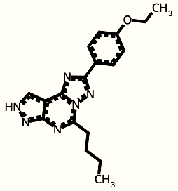 CCCCc1nc2n[nH]cc2c2nc(-c3ccc(OCC)cc3)nn12